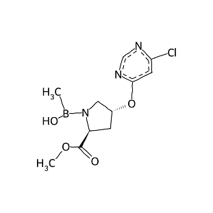 COC(=O)[C@@H]1C[C@@H](Oc2cc(Cl)ncn2)CN1B(C)O